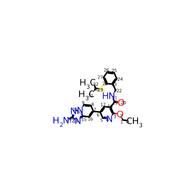 CCOc1ncc(-c2ccn3nc(N)nc3c2)cc1C(=O)NCc1ccccc1SC(C)C